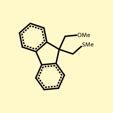 COCC1(CSC)c2ccccc2-c2ccccc21